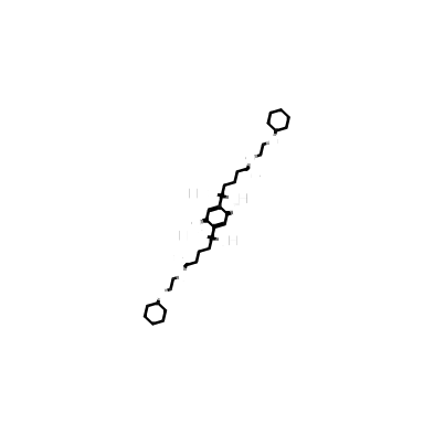 CC(C)(CCCC(=O)OCCOC1CCCCC1)C1=CC(=O)C(C(C)(C)CCCC(=O)OCCOC2CCCCC2)=CC1=O